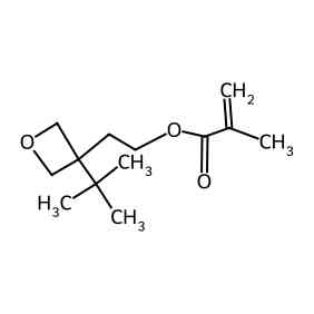 C=C(C)C(=O)OCCC1(C(C)(C)C)COC1